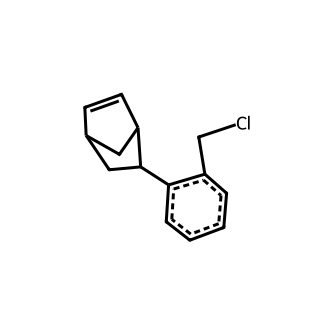 ClCc1ccccc1C1CC2C=CC1C2